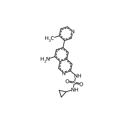 Cc1ccncc1-c1cc(N)c2cnc(NS(=O)(=O)NC3CC3)cc2c1